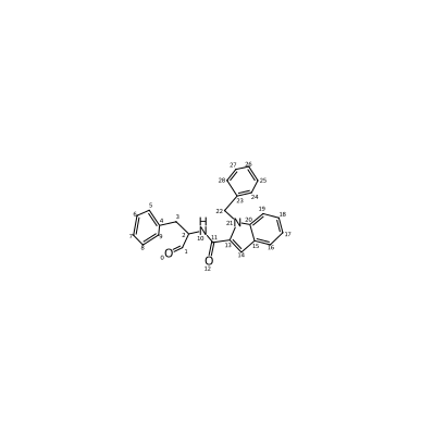 O=CC(Cc1ccccc1)NC(=O)c1cc2ccccc2n1Cc1ccccc1